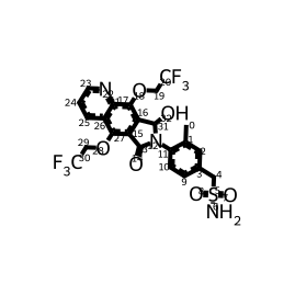 Cc1cc(CS(N)(=O)=O)ccc1N1C(=O)c2c(c(OCC(F)(F)F)c3ncccc3c2OCC(F)(F)F)C1O